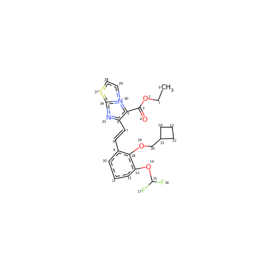 CCOC(=O)c1c(/C=C/c2cccc(OC(F)F)c2OCC2CCC2)nc2sccn12